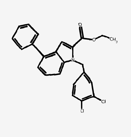 CCOC(=O)c1cc2c(-c3ccccc3)cccc2n1Cc1ccc(Cl)c(Cl)c1